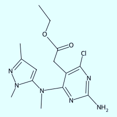 CCOC(=O)Cc1c(Cl)nc(N)nc1N(C)c1cc(C)nn1C